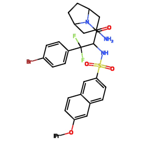 CC(C)Oc1ccc2cc(S(=O)(=O)NC(C(=O)N3C4CCC3CC(N)C4)C(F)(F)c3ccc(Br)cc3)ccc2c1